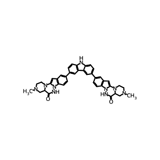 CN1CCN2c3cc4cc(-c5ccc6[nH]c7ccc(-c8ccc9c(c8)cc8n9NC(=O)C9CN(C)CCN89)cc7c6c5)ccc4n3NC(=O)C2C1